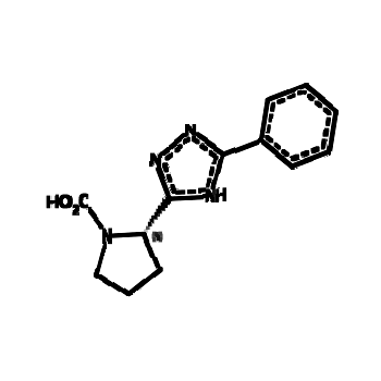 O=C(O)N1CCC[C@H]1c1nnc(-c2ccccc2)[nH]1